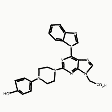 O=C(O)Cn1cnc2c(-n3cnc4ccccc43)nc(N3CCN(c4ccc(O)cc4)CC3)nc21